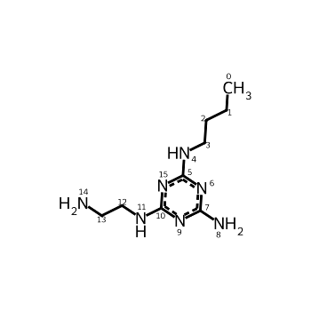 CCCCNc1nc(N)nc(NCCN)n1